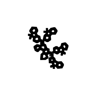 CC1(C)c2ccccc2-c2cc(N(c3ccc4c(c3)C(C)(C)c3ccccc3-4)c3cc4cc(N(c5ccc6c(c5)-c5ccccc5C6(C)C)c5ccc6c(c5)C(C)(C)c5ccccc5-6)c5ccccc5c4c4c3CCC=C4)ccc21